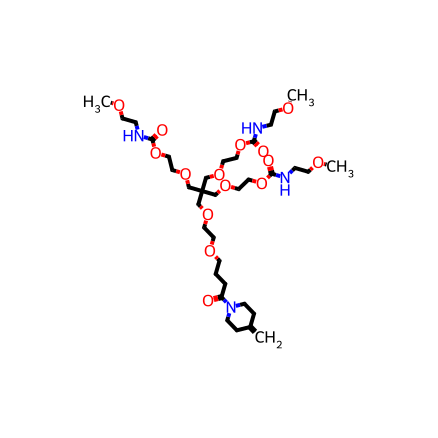 C=C1CCN(C(=O)CCCOCCOCC(COCCOC(=O)NCCOC)(COCCOC(=O)NCCOC)COCCOC(=O)NCCOC)CC1